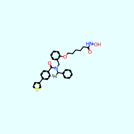 [2H]C(c1ccccc1)N(Cc1ccccc1OCCCCCC(=O)NO)C(=O)c1ccc(-c2ccsc2)cc1